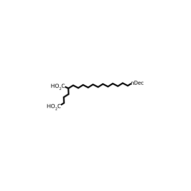 CCCCCCCCCCCCCCCCCCCCCCC(CCCC(=O)O)C(=O)O